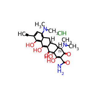 C#Cc1cc(N(C)C)c2c(c1O)C(O)=C1C(=O)[C@]3(O)C(O)=C(C(N)=O)C(=O)[C@@H](N(C)C)[C@@H]3C[C@@H]1C2.Cl